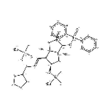 C=C1C[C@@H]2[C@H](/C=C/[C@@H](O[Si](C)(C)C(C)(C)C)C3CCCC3)[C@H](O[Si](C)(C)C(C)(C)C)C[C@@H]2C1OP(=O)(c1ccccc1)c1ccccc1